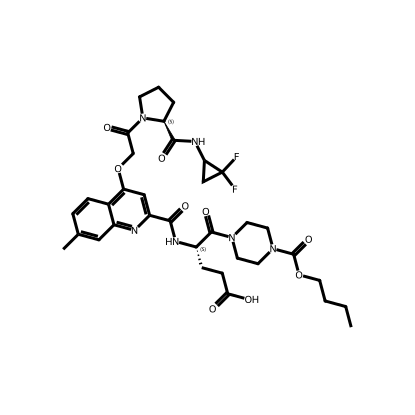 CCCCOC(=O)N1CCN(C(=O)[C@H](CCC(=O)O)NC(=O)c2cc(OCC(=O)N3CCC[C@H]3C(=O)NC3CC3(F)F)c3ccc(C)cc3n2)CC1